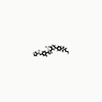 CC(CCF)S(=O)(=O)c1ccc(-c2cnc(N)c(-c3nnc(-c4ccc(CN[C@@H]5CCOC5)cc4F)o3)n2)cc1